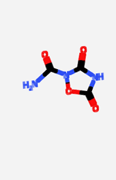 NC(=O)n1oc(=O)[nH]c1=O